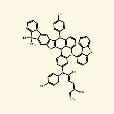 C=C/C(=C\C=C(/C)N(c1ccc2c(c1)N(c1cccc3sc4ccccc4c13)c1cccc3c1B2c1sc2cc4c(cc2c1N3c1ccc(C(C)(C)C)cc1)-c1ccccc1C4(C)C)C1C=CC(C(C)(C)C)=CC1)C(C)(C)C